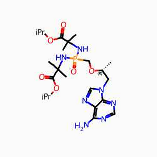 CC(C)OC(=O)C(C)(C)NP(=O)(CO[C@H](C)Cn1cnc2c(N)ncnc21)NC(C)(C)C(=O)OC(C)C